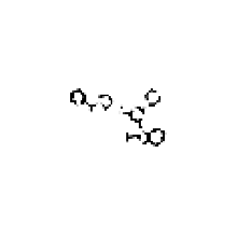 O=C(c1ccccn1)N1CC[C@H](CNc2cc(-n3c(C(F)F)nc4ccccc43)nc(N3CCOCC3)n2)C1